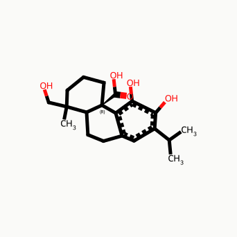 CC(C)c1cc2c(c(O)c1O)[C@@]1(C(=O)O)CCCC(C)(CO)C1CC2